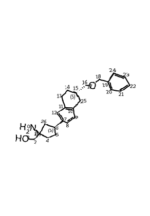 N[C@]1(CO)CC[C@H](c2ccc3c(c2)CC[C@H](COCc2ccccc2)C3)C1